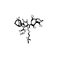 Cn1nc2c(Cl)cc(-c3cn(COCC[Si](C)(C)C)c4nc(N5C6CC[C@H]5C[C@H]6NC(=O)OC(C)(C)C)n(C)c(=O)c34)c(Cl)c2c1Cl